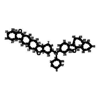 c1ccc(N(c2ccc3c(c2)oc2cc4cc5c(cc4cc23)oc2ccccc25)c2ccc3c(c2)oc2c4ccccc4ccc32)cc1